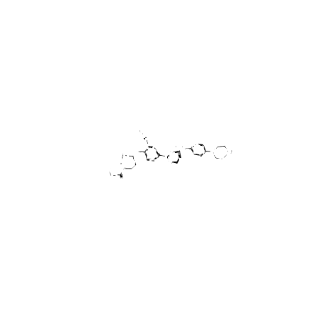 C[C@H](O)C(=O)N1CC[C@H](Oc2ccc(-c3nccc(Nc4ccc(N5CCNCC5)cc4)n3)cc2C#N)[C@H](F)C1